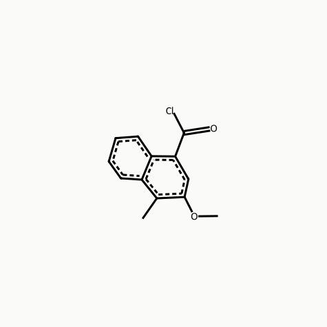 COc1cc(C(=O)Cl)c2ccccc2c1C